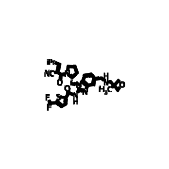 CC(C)/C=C(\C#N)C(=O)N1CCC[C@@H]1Cn1c(NC(=O)c2ccc(C(F)F)s2)nc2cc(CNCC3(C)COC3)ccc21